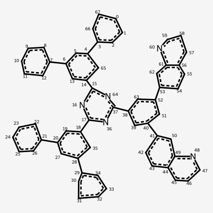 c1ccc(-c2cc(-c3ccccc3)cc(-c3nc(-c4cc(-c5ccccc5)cc(-c5ccccc5)c4)nc(-c4cc(-c5ccc6cccnc6c5)cc(-c5ccc6cccnc6c5)c4)n3)c2)cc1